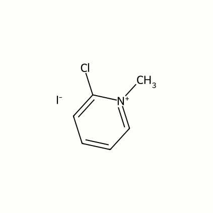 C[n+]1ccccc1Cl.[I-]